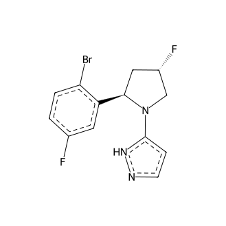 Fc1ccc(Br)c([C@H]2C[C@H](F)CN2c2ccn[nH]2)c1